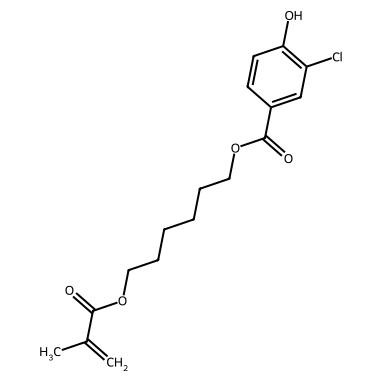 C=C(C)C(=O)OCCCCCCOC(=O)c1ccc(O)c(Cl)c1